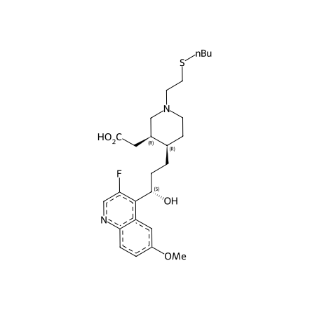 CCCCSCCN1CC[C@@H](CC[C@H](O)c2c(F)cnc3ccc(OC)cc23)[C@@H](CC(=O)O)C1